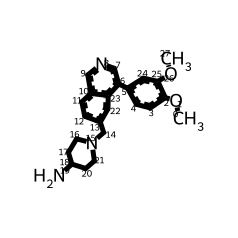 COc1ccc(-c2cncc3ccc(CN4CCC(N)CC4)cc23)cc1OC